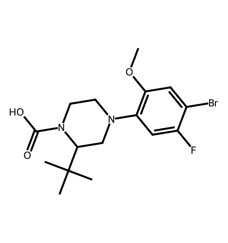 COc1cc(Br)c(F)cc1N1CCN(C(=O)O)C(C(C)(C)C)C1